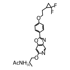 CC(=O)N[C@@H](C)COc1cc2oc(-c3ccc(OCCC4CC4(F)F)cc3)nc2cn1